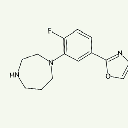 Fc1ccc(-c2ncco2)cc1N1CCCNCC1